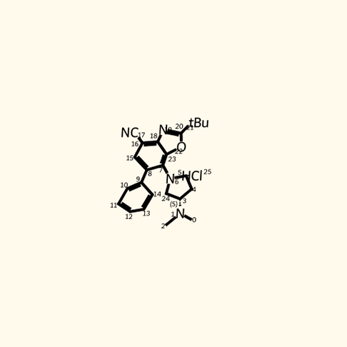 CN(C)[C@H]1CCN(c2c(-c3ccccc3)cc(C#N)c3nc(C(C)(C)C)oc23)C1.Cl